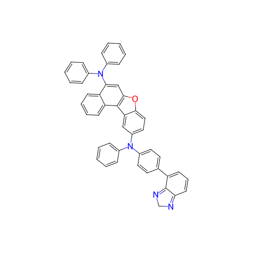 c1ccc(N(c2ccc(-c3cccc4c3=NCN=4)cc2)c2ccc3oc4cc(N(c5ccccc5)c5ccccc5)c5ccccc5c4c3c2)cc1